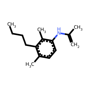 C=C(C)Nc1ccc(C)c(CCCC)c1C